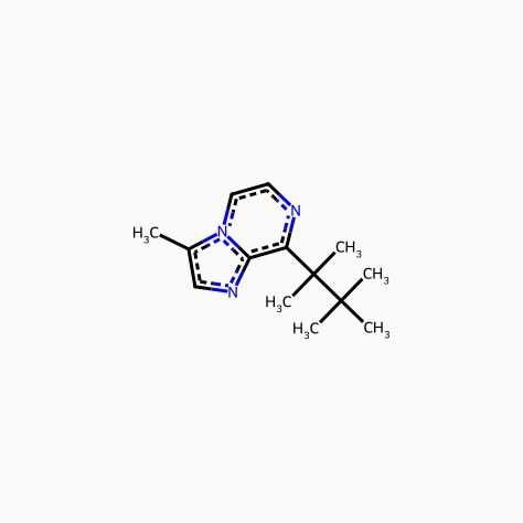 Cc1cnc2c(C(C)(C)C(C)(C)C)nccn12